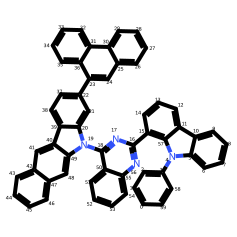 c1ccc(-n2c3ccccc3c3cccc(-c4nc(-n5c6cc(-c7cc8ccccc8c8ccccc78)ccc6c6cc7ccccc7cc65)c5ccccc5n4)c32)cc1